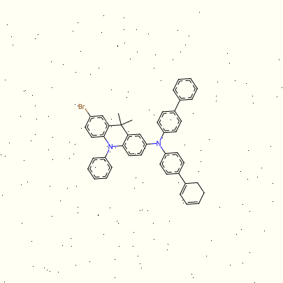 CC1(C)c2cc(Br)ccc2N(c2ccccc2)c2ccc(N(c3ccc(C4=CC=CCC4)cc3)c3ccc(-c4ccccc4)cc3)cc21